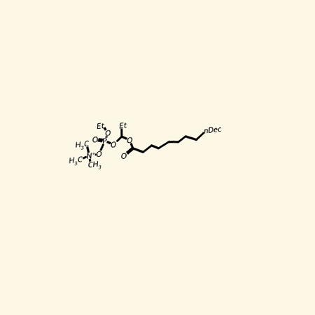 CCCCCCCCCCCCCCCCCC(=O)OC(CC)OP(=O)(OCC)O[N+](C)(C)C